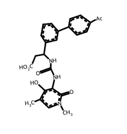 CC(=O)c1ccc(-c2cccc(C(CC(=O)O)NC(=O)Nc3c(O)c(C)cn(C)c3=O)c2)cc1